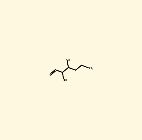 NCCC(S)C(O)C=O